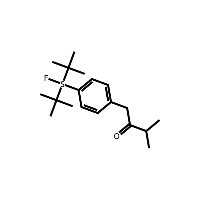 CC(C)C(=O)Cc1ccc(S(F)(C(C)(C)C)C(C)(C)C)cc1